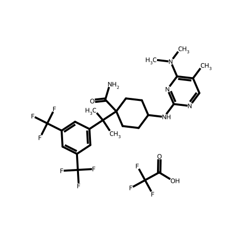 Cc1cnc(NC2CCC(C(N)=O)(C(C)(C)c3cc(C(F)(F)F)cc(C(F)(F)F)c3)CC2)nc1N(C)C.O=C(O)C(F)(F)F